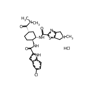 CN1Cc2nc(C(=O)N[C@H]3C[C@@H](C(=O)N(C)C)CC[C@@H]3NC(=O)c3cc4cc(Cl)ccc4[nH]3)sc2C1.Cl